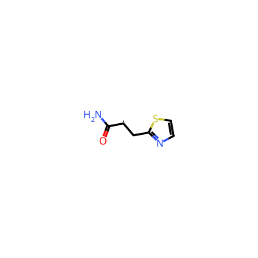 NC(=O)[CH]Cc1nccs1